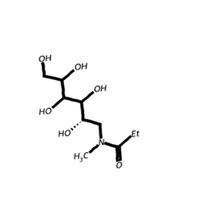 CCC(=O)N(C)C[C@H](O)C(O)C(O)C(O)CO